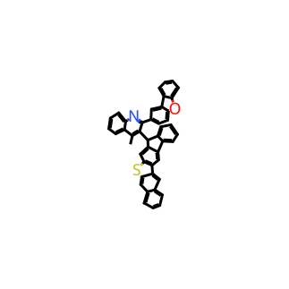 Cc1c(C2c3ccccc3-c3cc4c(cc32)sc2cc3ccccc3cc24)c(-c2ccc3oc4ccccc4c3c2)nc2ccccc12